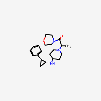 CC(C(=O)N1CCOCC1)N1CCC(N[C@@H]2C[C@H]2c2ccccc2)CC1